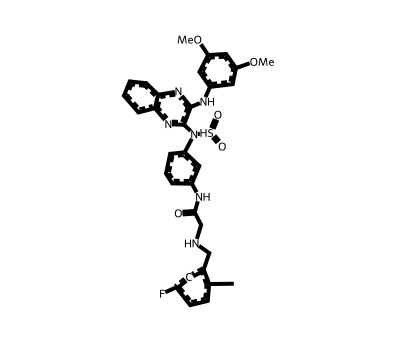 COc1cc(Nc2nc3ccccc3nc2N(c2cccc(NC(=O)CNCc3cc(F)ccc3C)c2)[SH](=O)=O)cc(OC)c1